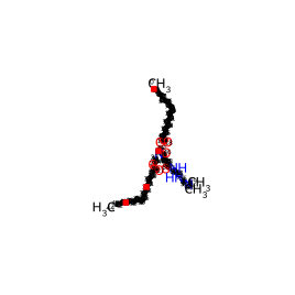 CCCCCCCC/C=C\CCCCCCCC(=O)OCCN(CCOC(=O)CCCCCCC/C=C\CCCCCCCC)C(=O)C=CC(=O)NCCNCCN(C)C